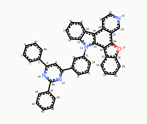 c1ccc(-c2cc(-c3cccc(-n4c5ccccc5c5c6ccncc6c6oc7ccccc7c6c54)c3)nc(-c3ccccc3)n2)cc1